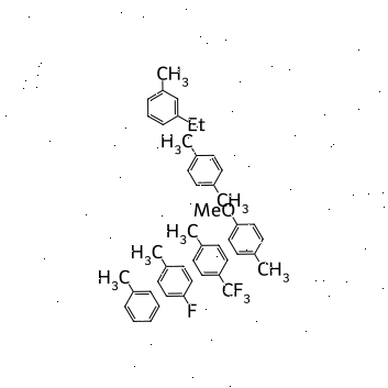 COc1ccc(C)cc1.Cc1ccc(C(F)(F)F)cc1.Cc1ccc(C)cc1.Cc1ccc(F)cc1.Cc1ccccc1.[CH2]Cc1cccc(C)c1